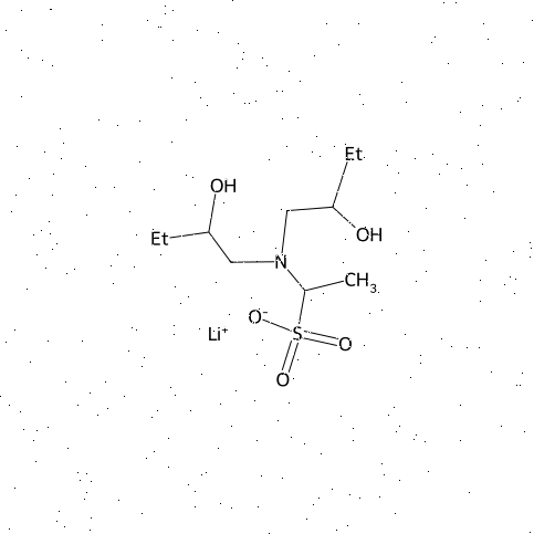 CCC(O)CN(CC(O)CC)C(C)S(=O)(=O)[O-].[Li+]